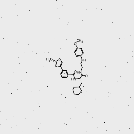 COc1ccc(NCCNC(=O)[C@H](CC2CCCCC2)NC(=O)c2cccc(-c3csc(C)n3)c2)cc1